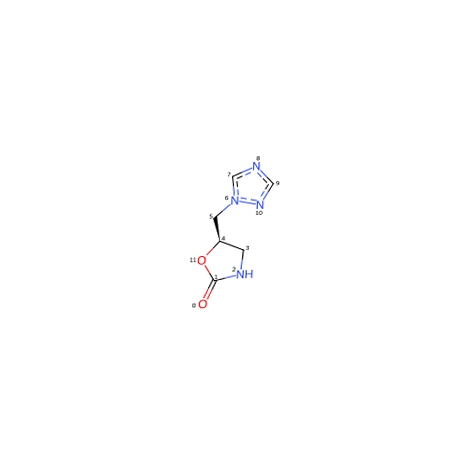 O=C1NC[C@H](Cn2cncn2)O1